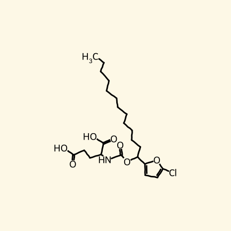 CCCCCCCCCCCCC(OC(=O)NC(CCC(=O)O)C(=O)O)c1ccc(Cl)o1